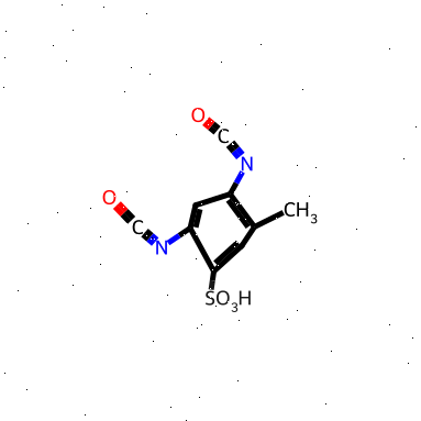 Cc1cc(S(=O)(=O)O)c(N=C=O)cc1N=C=O